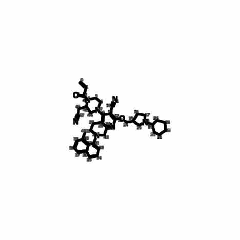 C=CC(=O)N1CCN(c2c(C#N)c(OCC3CCN(C4CCCCC4)C3)nc3c2CCN(c2cccc4cccc(C)c24)C3)CC1CC#N